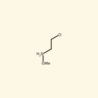 CO[SiH2]CCCl